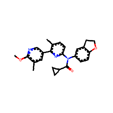 COc1ncc(-c2nc(N(C(=O)C3CC3)c3ccc4c(c3)CCO4)ccc2C)cc1C